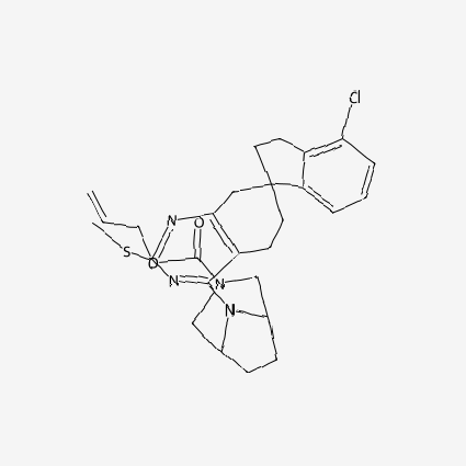 C=CCOC(=O)N1CC2CCC(C1)N2c1nc(SC)nc2c1CCC1(CCc3c(Cl)cccc31)C2